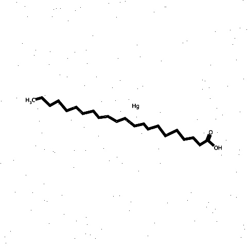 CCCCCCCCCCCCCCCCCCCCCC(=O)O.[Hg]